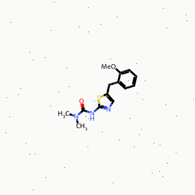 COc1ccccc1Cc1cnc(NC(=O)N(C)C)s1